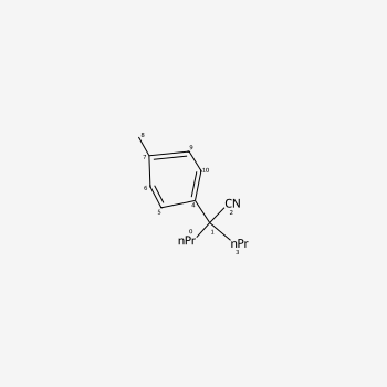 CCCC(C#N)(CCC)c1ccc(C)cc1